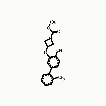 CC(C)(C)OC(=O)N1CC(Oc2cc(-c3ccccc3C(F)(F)F)ccc2C#N)C1